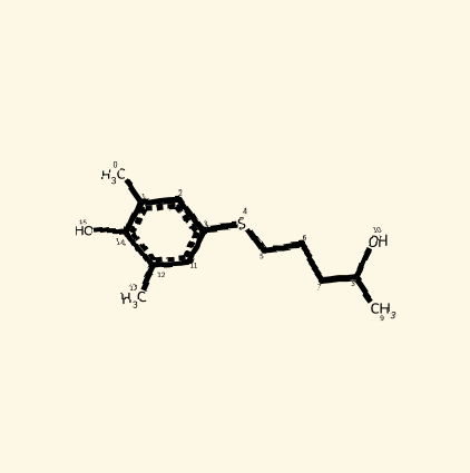 Cc1cc(SCCCC(C)O)cc(C)c1O